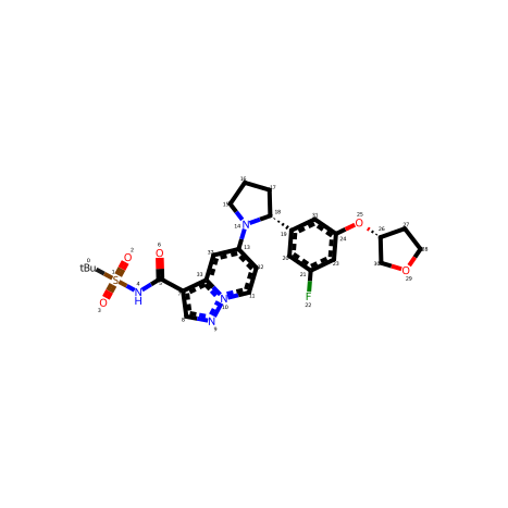 CC(C)(C)S(=O)(=O)NC(=O)c1cnn2ccc(N3CCC[C@@H]3c3cc(F)cc(O[C@@H]4CCOC4)c3)cc12